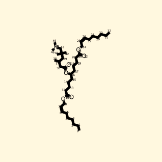 CCCCCC/C=C\COC(=O)CCCCC(CCCCC(=O)OC/C=C\CCCCCC)OC(=O)CC(C)CC(C)(C)CN(C)C